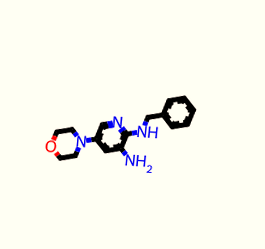 Nc1cc(N2CCOCC2)cnc1NCc1ccccc1